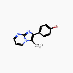 O=C(O)c1c(-c2ccc(Br)cc2)nc2ncccn12